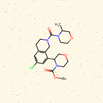 CC1COCCN1C(=O)N1CCc2cc(Cl)cc(C3COCCN3C(=O)OC(C)(C)C)c2C1